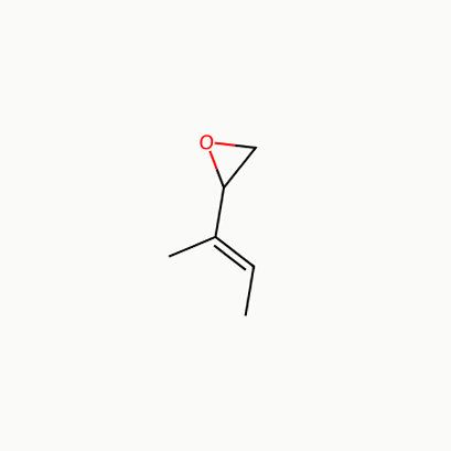 CC=C(C)C1CO1